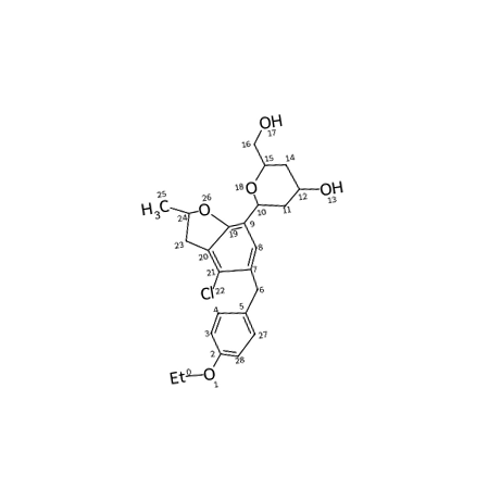 CCOc1ccc(Cc2cc(C3CC(O)CC(CO)O3)c3c(c2Cl)CC(C)O3)cc1